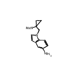 CNC1(Cn2ccc3cc(N)ccc32)CC1